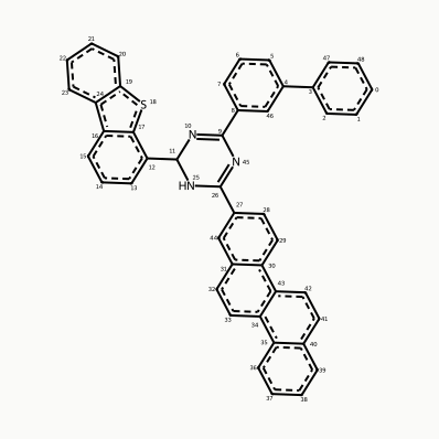 c1ccc(-c2cccc(C3=NC(c4cccc5c4sc4ccccc45)NC(c4ccc5c(ccc6c7ccccc7ccc56)c4)=N3)c2)cc1